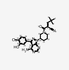 CC(C)(C)/C=C(\C#N)C(=O)N1CCC[C@@H](n2nc(-c3ccc(Cl)c(O)c3)c3c(N)ncnc32)C1